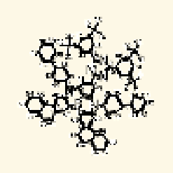 CC(C)(C)c1cc(-c2nc(-c3cc(C(C)(C)C)cc(C(C)(C)C)c3)nc(-c3cc4c5c(c3)N(c3ccc(-c6ccccc6)cc3)c3cc6c(ccc7ccccc76)cc3B5c3cc5ccc6ccccc6c5cc3N4c3ccc(-c4ccccc4)cc3)n2)cc(C(C)(C)C)c1